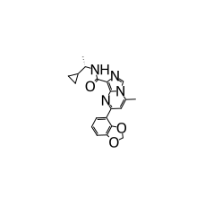 Cc1cc(-c2cccc3c2OCO3)nc2c(C(=O)N[C@@H](C)C3CC3)ncn12